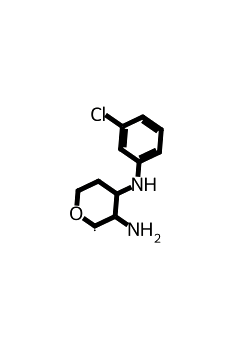 NC1[CH]OCCC1Nc1cccc(Cl)c1